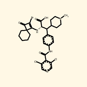 CN1CCC(C(c2ccc(NC(=O)c3c(Cl)cncc3Cl)cc2)[C@H](NC2=C(Br)C(=O)C23CCCCC3)C(=O)O)CC1